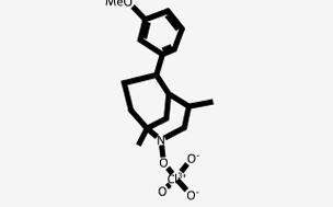 COc1cccc(C2CCC3(C)CC2C(C)CN3O[Cl+3]([O-])([O-])[O-])c1